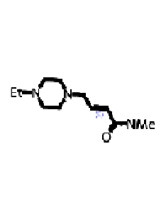 CCN1CCN(C/C=C/C(=O)NC)CC1